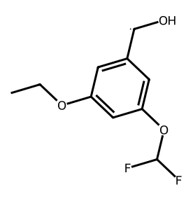 CCOc1cc([CH]O)cc(OC(F)F)c1